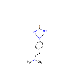 CN(C)CCc1ccc(N2CNC(=S)NC2)cc1